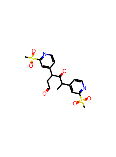 CC(C(=O)C(CC=O)c1ccnc(S(C)(=O)=O)c1)c1ccnc(S(C)(=O)=O)c1